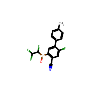 Cc1ccc(-c2cc([S+]([O-])C(F)C(F)F)c(C#N)cc2F)cc1